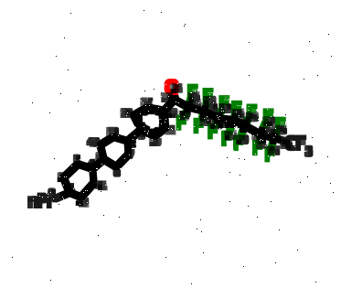 CCCC1CCC(C2CCC(c3ccc(C(=O)C(F)(F)C(F)(F)C(F)(F)C(F)(F)C(F)(F)C(F)(F)C(F)(F)C(F)(F)F)cc3)CC2)CC1